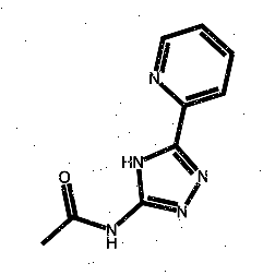 CC(=O)Nc1nnc(-c2ccccn2)[nH]1